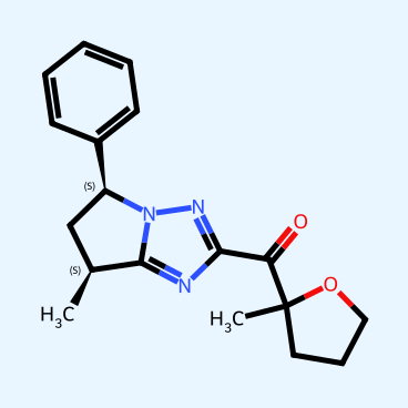 C[C@H]1C[C@@H](c2ccccc2)n2nc(C(=O)C3(C)CCCO3)nc21